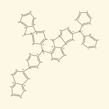 c1ccc(N(c2ccccc2)c2ccc3oc4c(N(c5ccc(-c6ccc7ccccc7c6)cc5)c5ccc6c(c5)sc5ccccc56)cccc4c3c2)cc1